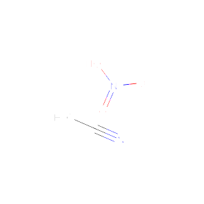 CC#N.O=[N+]([O-])O